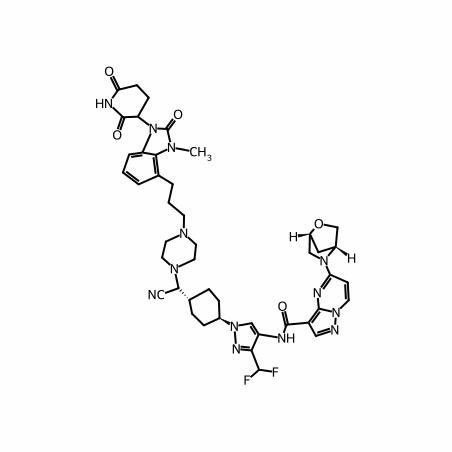 Cn1c(=O)n(C2CCC(=O)NC2=O)c2cccc(CCCN3CCN(C(C#N)[C@H]4CC[C@H](n5cc(NC(=O)c6cnn7ccc(N8C[C@H]9C[C@@H]8CO9)nc67)c(C(F)F)n5)CC4)CC3)c21